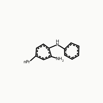 CCCc1ccc(Nc2ccccc2)c(N)c1